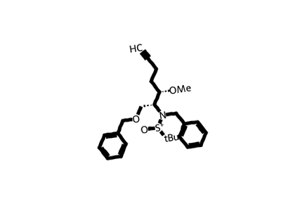 C#CCC[C@H](OC)[C@@H](COCc1ccccc1)N(Cc1ccccc1)[S+]([O-])C(C)(C)C